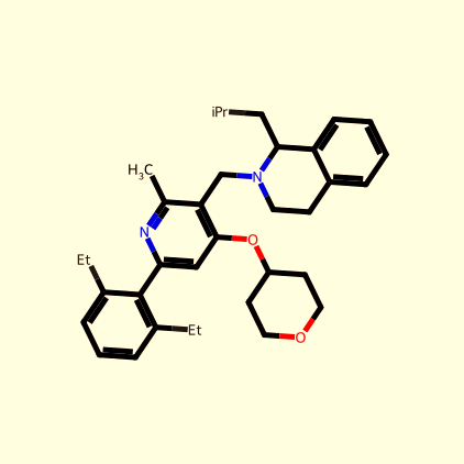 CCc1cccc(CC)c1-c1cc(OC2CCOCC2)c(CN2CCc3ccccc3C2CC(C)C)c(C)n1